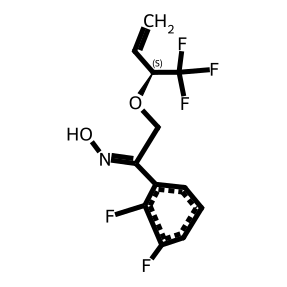 C=C[C@H](OCC(=NO)c1cccc(F)c1F)C(F)(F)F